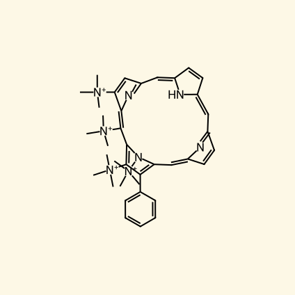 C[N+](C)(C)C1=Cc2cc3ccc(cc4nc(cc5c(-c6ccccc6)c([N+](C)(C)C)c(c([N+](C)(C)C)c1n2)n5[N+](C)(C)C)C=C4)[nH]3